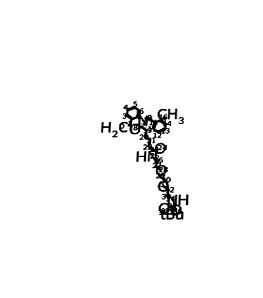 C=Cc1ccccc1N(Cc1ccccc1C)C(=O)CCCCC(=O)NCCOCCOCCNC(=O)OC(C)(C)C